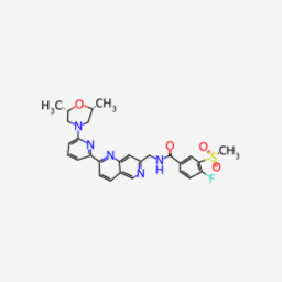 C[C@@H]1CN(c2cccc(-c3ccc4cnc(CNC(=O)c5ccc(F)c(S(C)(=O)=O)c5)cc4n3)n2)C[C@H](C)O1